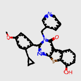 COc1ccc(-c2nc3sc4c(O)cccc4c3c(=O)n2Cc2cccnc2)c(C2CC2)c1